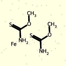 COC(N)=S.COC(N)=S.[Fe]